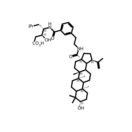 C=C(C)[C@@H]1CC[C@]2(C(=O)NCCc3cccc(C(=O)N[C@@H](CC(C)C)[C@@H](O)CC(=O)O)c3)CC[C@]3(C)C(CCC4[C@@]5(C)CC[C@H](O)C(C)(C)C5CC[C@]43C)C12